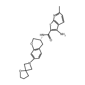 Cc1ccc2c(N)c(C(=O)N[C@H]3COc4cc(N5CC6(CCCO6)C5)ccc4C3)sc2n1